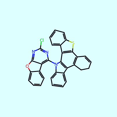 Clc1nc(-n2c3ccccc3c3c4c(c5sc6ccccc6c5c32)C=CCC4)c2c(n1)oc1ccccc12